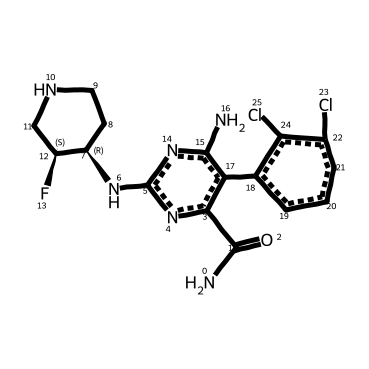 NC(=O)c1nc(N[C@@H]2CCNC[C@@H]2F)nc(N)c1-c1cccc(Cl)c1Cl